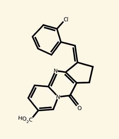 O=C(O)c1ccc2nc3c(c(=O)n2c1)CC/C3=C/c1ccccc1Cl